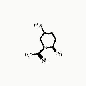 CC(=N)N1CC(N)CCC1=N